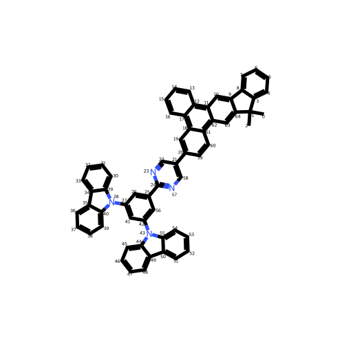 CC1(C)c2ccccc2-c2cc3c4ccccc4c4cc(-c5cnc(-c6cc(-n7c8ccccc8c8ccccc87)cc(-n7c8ccccc8c8ccccc87)c6)nc5)ccc4c3cc21